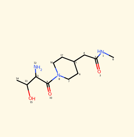 CNC(=O)CC1CCN(C(=O)C(N)C(C)O)CC1